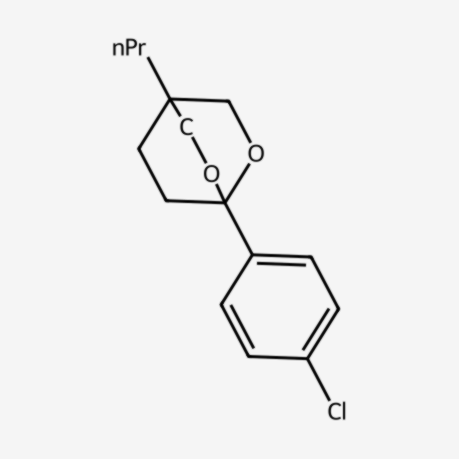 CCCC12CCC(c3ccc(Cl)cc3)(OC1)OC2